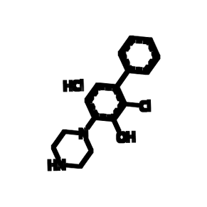 Cl.Oc1c(N2CCNCC2)ccc(-c2ccccc2)c1Cl